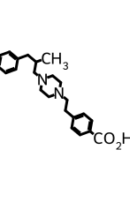 CC(Cc1ccccc1)CN1CCN(CCc2ccc(C(=O)O)cc2)CC1